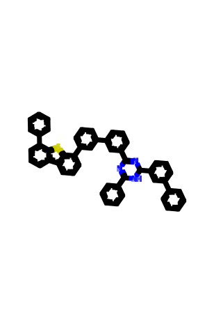 c1ccc(C2=NC(c3cccc(-c4cccc(-c5cccc6c5sc5c(-c7ccccc7)cccc56)c4)c3)=NC(c3cccc(-c4ccccc4)c3)N2)cc1